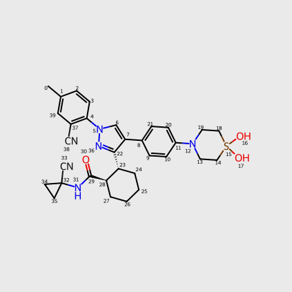 Cc1ccc(-n2cc(-c3ccc(N4CCS(O)(O)CC4)cc3)c([C@@H]3CCCC[C@H]3C(=O)NC3(C#N)CC3)n2)c(C#N)c1